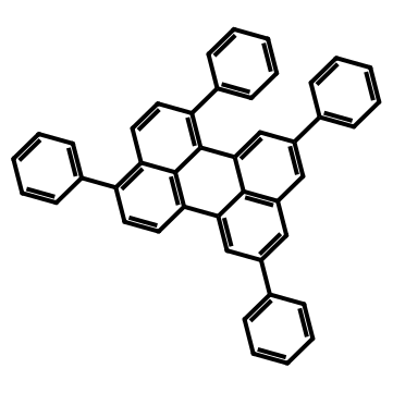 c1ccc(-c2cc3cc(-c4ccccc4)cc4c5c(-c6ccccc6)ccc6c(-c7ccccc7)ccc(c(c2)c34)c65)cc1